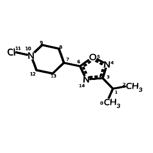 CC(C)c1noc(C2CCN(Cl)CC2)n1